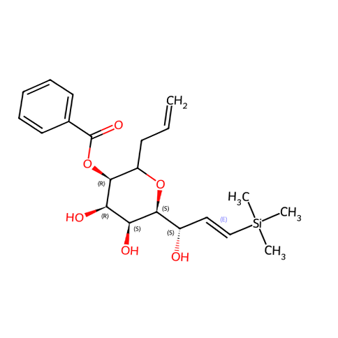 C=CCC1O[C@@H]([C@@H](O)/C=C/[Si](C)(C)C)[C@@H](O)[C@@H](O)[C@H]1OC(=O)c1ccccc1